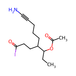 CCC(OC(C)=O)C(CCCC#CN)CCC(=O)I